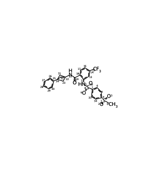 CS(=O)(=O)c1ccc(S(=O)(=O)Nc2cc(C(F)(F)F)ccc2C(=O)NC23CC(c4ccccc4)(C2)C3)cc1